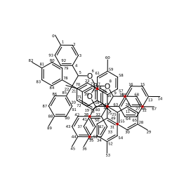 Cc1ccc(C(OB(OC(c2ccc(C)cc2)C(c2ccc(C)cc2)(c2ccc(C)cc2)c2ccc(C)cc2)OC(c2ccc(C)cc2)C(c2ccc(C)cc2)(c2ccc(C)cc2)c2ccc(C)cc2)C(c2ccc(C)cc2)(c2ccc(C)cc2)c2ccc(C)cc2)cc1